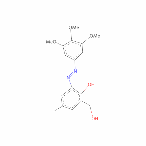 COc1cc(N=Nc2cc(C)cc(CO)c2O)cc(OC)c1OC